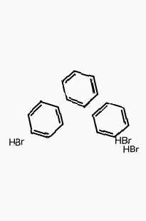 Br.Br.Br.c1ccccc1.c1ccccc1.c1ccccc1